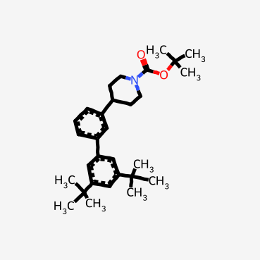 CC(C)(C)OC(=O)N1CCC(c2cccc(-c3cc(C(C)(C)C)cc(C(C)(C)C)c3)c2)CC1